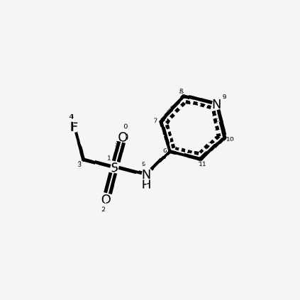 O=S(=O)(CF)Nc1ccncc1